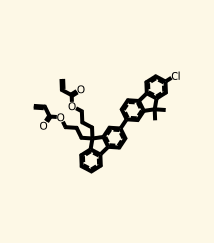 C=CC(=O)OCCCC1(CCCOC(=O)C=C)c2ccccc2-c2ccc(-c3ccc4c(c3)C(C)(C)c3cc(Cl)ccc3-4)cc21